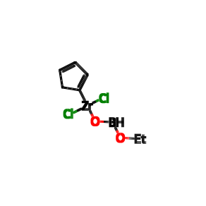 CCOB[O][Zr]([Cl])([Cl])[C]1=CC=CC1